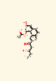 CCC(C)C(=O)OC1CC(O)C=C2C=CC(C)C(CCC(O)CC(O)CC(=O)O)C21